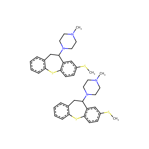 CSc1ccc2c(c1)C(N1CCN(C)CC1)Cc1ccccc1S2.CSc1ccc2c(c1)C(N1CCN(C)CC1)Cc1ccccc1S2